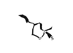 C#CC1COP(C)(=S)C1